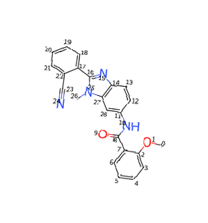 COc1ccccc1C(=O)Nc1ccc2nc(-c3ccccc3C#N)n(C)c2c1